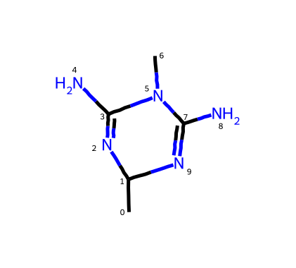 CC1N=C(N)N(C)C(N)=N1